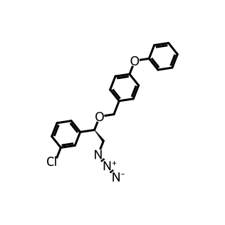 [N-]=[N+]=NC[C@H](OCc1ccc(Oc2ccccc2)cc1)c1cccc(Cl)c1